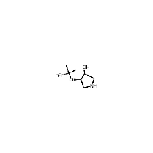 CCCC(C)(C)O[C@@H]1CNC[C@@H]1O